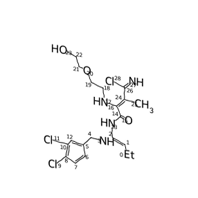 CC/C=C(\NCc1ccc(Cl)c(Cl)c1)NC(=O)/C(NCCOCCO)=C(\C)C(=N)Cl